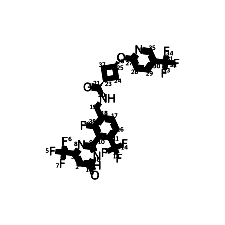 O=c1cc(C(F)(F)F)nc(-c2c(C(F)(F)F)ccc(CNC(=O)[C@H]3C[C@H](Oc4ccc(C(F)(F)F)cn4)C3)c2F)[nH]1